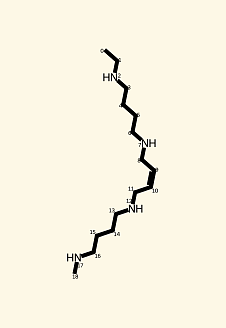 CCNCCCCNC/C=C\CNCCCCNC